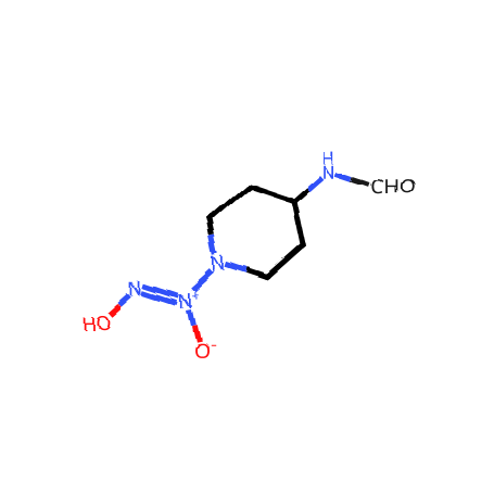 O=CNC1CCN([N+]([O-])=NO)CC1